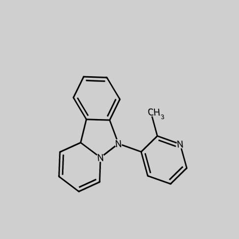 Cc1ncccc1N1c2ccccc2C2C=CC=CN21